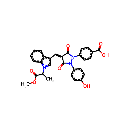 COC(=O)C(C)n1cc(/C=C2\C(=O)N(c3ccc(O)cc3)N(c3ccc(C(=O)O)cc3)C2=O)c2ccccc21